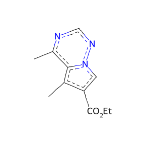 CCOC(=O)c1cn2ncnc(C)c2c1C